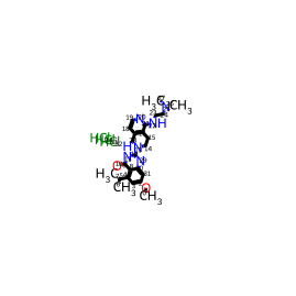 COc1cc(C(C)C)c2c(=O)[nH]c(N3CCc4c(ccnc4NCCN(C)C)C3)nc2c1.Cl.Cl.Cl